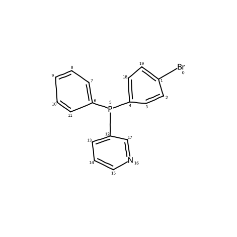 Brc1ccc(P(c2ccccc2)c2cccnc2)cc1